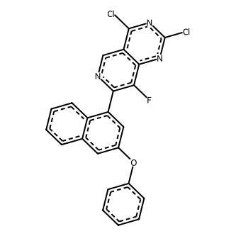 Fc1c(-c2cc(Oc3ccccc3)cc3ccccc23)ncc2c(Cl)nc(Cl)nc12